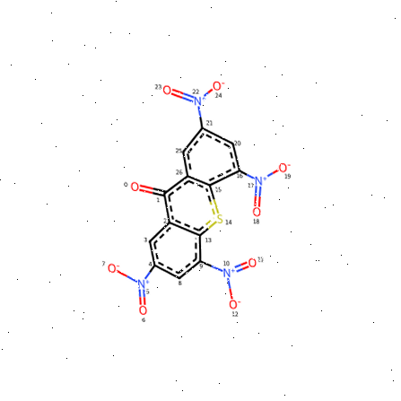 O=c1c2cc([N+](=O)[O-])cc([N+](=O)[O-])c2sc2c([N+](=O)[O-])cc([N+](=O)[O-])cc12